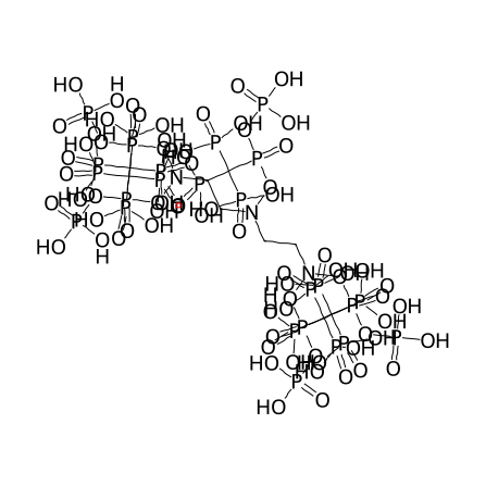 O=P(O)(O)OP(=O)(ON(CCN(OP(=O)(OP(=O)(O)O)C(P(=O)(O)O)(P(=O)(O)O)P(=O)(O)O)OP(=O)(OP(=O)(O)O)C(P(=O)(O)O)(P(=O)(O)O)P(=O)(O)O)CCN(OP(=O)(OP(=O)(O)O)C(P(=O)(O)O)(P(=O)(O)O)P(=O)(O)O)OP(=O)(OP(=O)(O)O)C(P(=O)(O)O)(P(=O)(O)O)P(=O)(O)O)C(P(=O)(O)O)(P(=O)(O)O)P(=O)(O)O